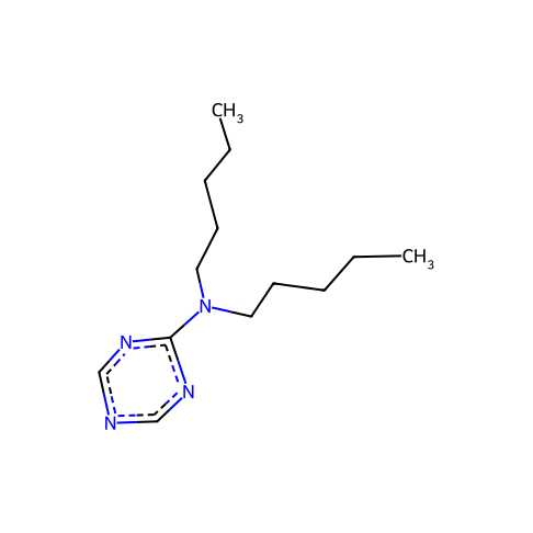 CCCCCN(CCCCC)c1ncncn1